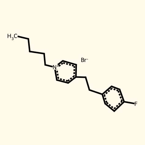 CCCCC[n+]1ccc(CCc2ccc(F)cc2)cc1.[Br-]